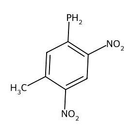 Cc1cc(P)c([N+](=O)[O-])cc1[N+](=O)[O-]